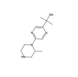 CC1CNCCN1c1cnc(C(C)(C)O)cn1